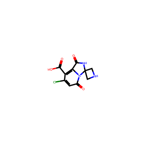 O=C(O)c1c(Cl)cc(=O)n2c1C(=O)NC21CNC1